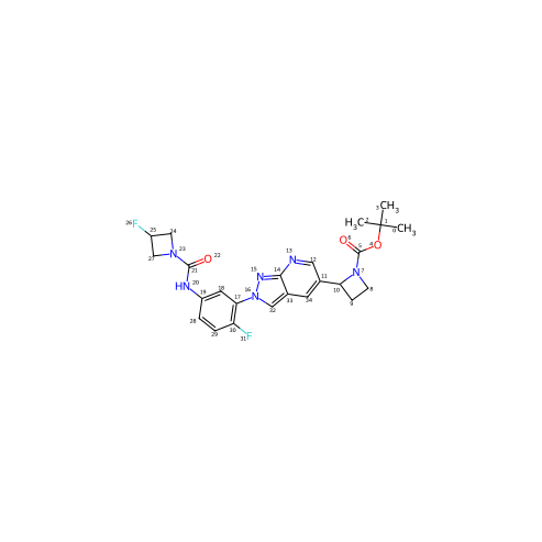 CC(C)(C)OC(=O)N1CCC1c1cnc2nn(-c3cc(NC(=O)N4CC(F)C4)ccc3F)cc2c1